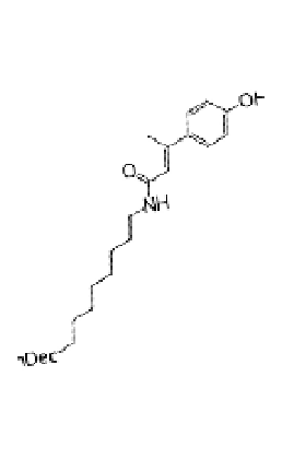 CCCCCCCCCCCCCCCCCCNC(=O)C=C(C)c1ccc(O)cc1